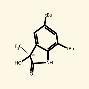 CC(C)(C)c1cc(C(C)(C)C)c2c(c1)[C@@](O)(C(F)(F)F)C(=O)N2